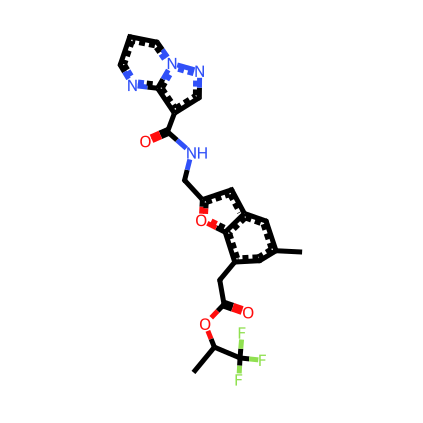 Cc1cc(CC(=O)OC(C)C(F)(F)F)c2oc(CNC(=O)c3cnn4cccnc34)cc2c1